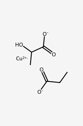 CC(O)C(=O)[O-].CCC(=O)[O-].[Cu+2]